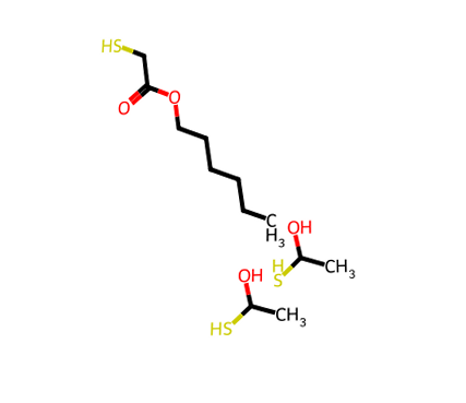 CC(O)S.CC(O)S.CCCCCCOC(=O)CS